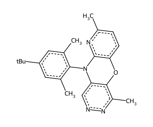 Cc1ccc2c(n1)N(c1c(C)cc(C(C)(C)C)cc1C)c1cnnc(C)c1O2